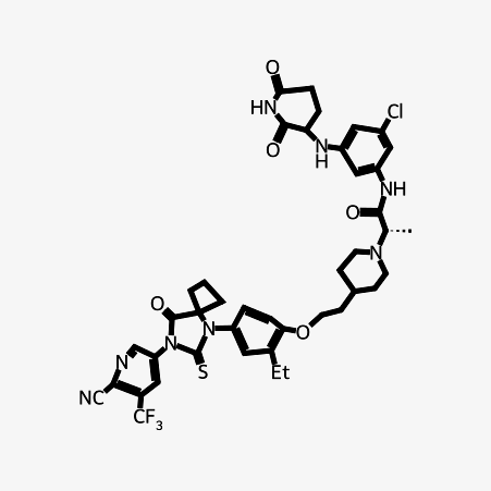 CCc1cc(N2C(=S)N(c3cnc(C#N)c(C(F)(F)F)c3)C(=O)C23CCC3)ccc1OCCC1CCN([C@@H](C)C(=O)Nc2cc(Cl)cc(NC3CCC(=O)NC3=O)c2)CC1